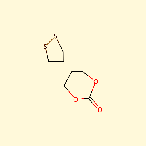 C1CSSC1.O=C1OCCCO1